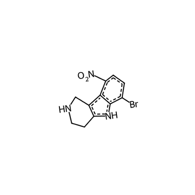 O=[N+]([O-])c1ccc(Br)c2[nH]c3c(c12)CNCC3